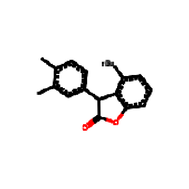 CCCCc1cccc2c1C(c1ccc(C)c(C)c1)C(=O)O2